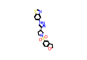 O=S(=O)(c1ccc2c(c1)CCO2)N1CC[C@@H](c2cn(-c3ccc4scnc4c3)nn2)C1